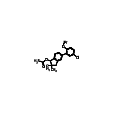 CC(C)Oc1ccc(Cl)cc1-c1ccc2c(c1)CC(C)(C)C2OC(N)=O